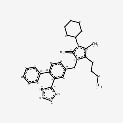 CCCCc1c(C)n(C2CCCCC2)c(=O)n1Cc1ccc(-c2ccccc2)c(-c2nnn[nH]2)c1